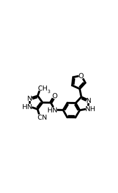 Cc1n[nH]c(C#N)c1C(=O)Nc1ccc2[nH]nc(-c3ccoc3)c2c1